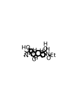 CCC(=O)N[C@H]1CC=C2C[C@H]3C(=O)C[C@]4(C)[C@@H]([C@H](C)N(C)C)[C@H](O)C[C@@]4(C)[C@@H]3CC[C@H]2[C@]1(C)CO